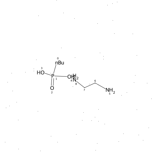 CCCCP(=O)(O)O.NCCN